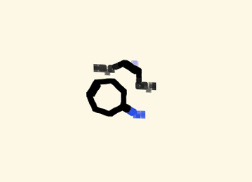 N=C1CCC=CCC1.O=C(O)/C=C\C(=O)O